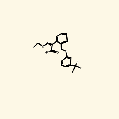 CCO/N=C(\C(=O)O)c1ccccc1COc1cccc(C(F)(F)F)c1